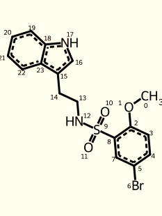 COc1ccc(Br)cc1S(=O)(=O)NCCc1c[nH]c2ccccc12